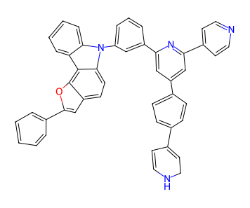 C1=CC(c2ccc(-c3cc(-c4ccncc4)nc(-c4cccc(-n5c6ccccc6c6c7oc(-c8ccccc8)cc7ccc65)c4)c3)cc2)=CCN1